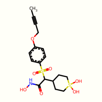 CC#CCOc1ccc(S(=O)(=O)C(C(=O)NO)C2CCS(O)(O)CC2)cc1